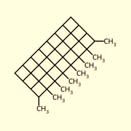 CC1C2C3CC4C5C6C7C8C9CC%10C%11C(C)C%12(C)C%13(C)C%14(C)C%15(C)C%16(C)C1(C)C21C34C52C63C74C85C%109C%11%12C%135C%144C%153C%1612